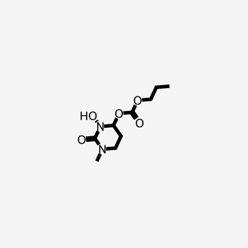 CCCOC(=O)OC1CCN(C)C(=O)N1O